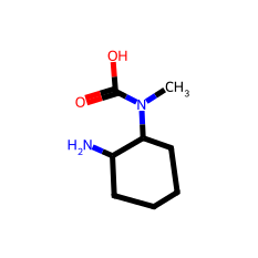 CN(C(=O)O)C1CCCCC1N